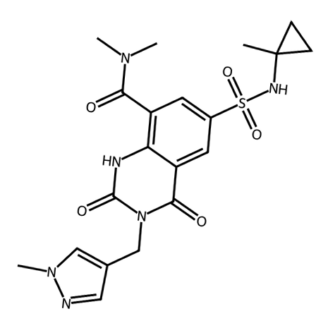 CN(C)C(=O)c1cc(S(=O)(=O)NC2(C)CC2)cc2c(=O)n(Cc3cnn(C)c3)c(=O)[nH]c12